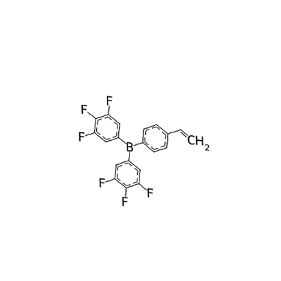 C=Cc1ccc(B(c2cc(F)c(F)c(F)c2)c2cc(F)c(F)c(F)c2)cc1